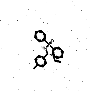 C=CC[C@@H](NP(=O)(c1ccccc1)c1ccccc1)c1ccc(C)cc1